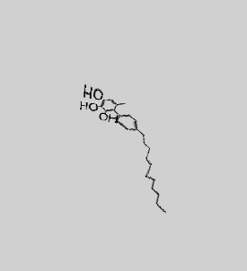 CCCCCCCCCCCc1ccc(-c2c(C)cc(O)c(O)c2O)cc1